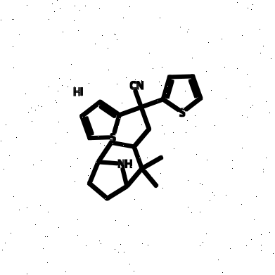 CC1(C)C(CC(C#N)(c2cccs2)c2cccs2)CC2CCC1N2.I